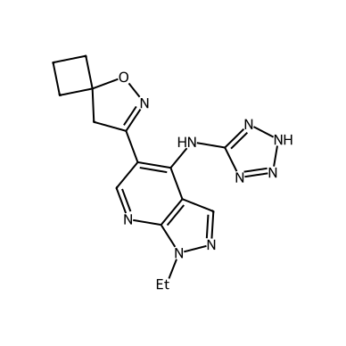 CCn1ncc2c(Nc3nn[nH]n3)c(C3=NOC4(CCC4)C3)cnc21